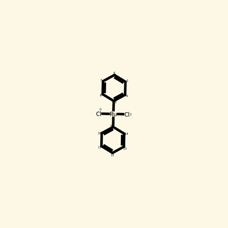 [Cl][Ru]([Cl])([c]1ccccc1)[c]1ccccc1